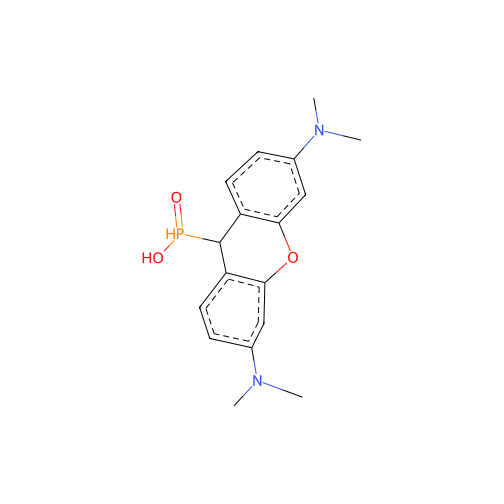 CN(C)c1ccc2c(c1)Oc1cc(N(C)C)ccc1C2[PH](=O)O